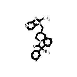 Cc1nc2cnccc2n1CC1CCN(C(=O)C(N)(c2ccccc2)c2ccccc2)CC1